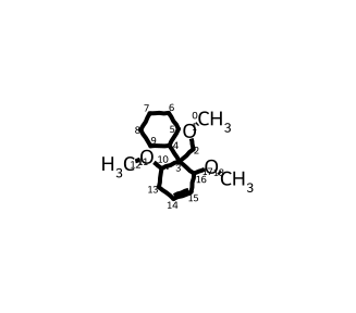 COCC1(C2CCCCC2)[C](OC)CC=CC1OC